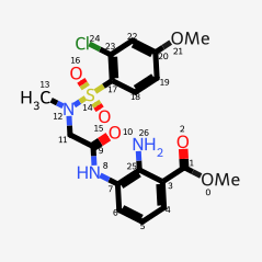 COC(=O)c1cccc(NC(=O)CN(C)S(=O)(=O)c2ccc(OC)cc2Cl)c1N